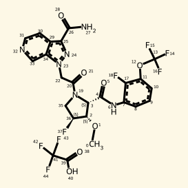 CO[C@H]1[C@@H](C(=O)Nc2cccc(OC(F)(F)F)c2F)N(C(=O)Cn2nc(C(N)=O)c3ccncc32)C[C@@H]1F.O=C(O)C(F)(F)F